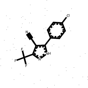 N#Cc1c(C(F)(F)F)n[nH]c1-c1ccc(Cl)cc1